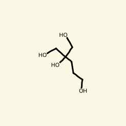 OCCCC(O)(CO)CO